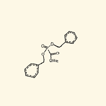 COC(=O)P(=O)(OCc1ccccc1)OCc1ccccc1